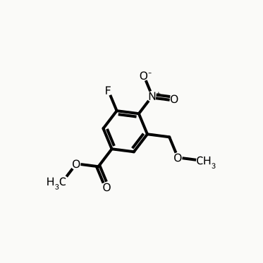 COCc1cc(C(=O)OC)cc(F)c1[N+](=O)[O-]